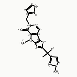 Cn1ccc(C(F)(F)c2nc3c(s2)c2cnn(Cc4cc[nH]n4)c(=O)c2n3C)n1